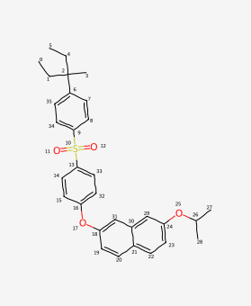 CCC(C)(CC)c1ccc(S(=O)(=O)c2ccc(Oc3ccc4ccc(OC(C)C)cc4c3)cc2)cc1